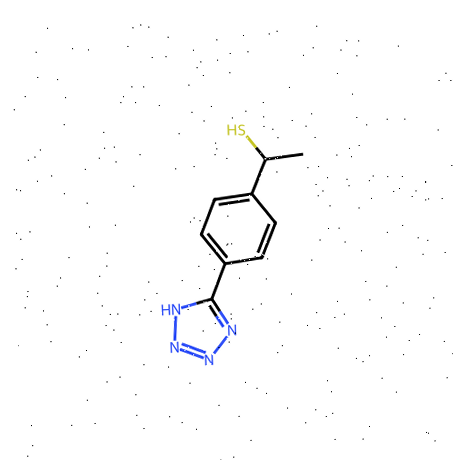 CC(S)c1ccc(-c2nnn[nH]2)cc1